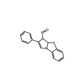 O=NN1C(c2ccccc2)=CN2c3ccccc3SC12